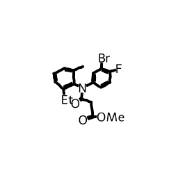 CCc1cccc(C)c1N(C(=O)CC(=O)OC)c1ccc(F)c(Br)c1